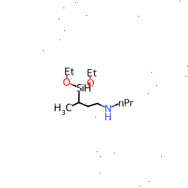 CCCNCCC(C)[SiH](OCC)OCC